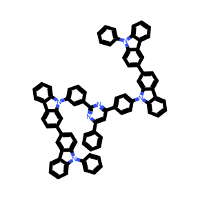 c1ccc(-c2cc(-c3ccc(-n4c5ccccc5c5ccc(-c6ccc7c(c6)c6ccccc6n7-c6ccccc6)cc54)cc3)nc(-c3cccc(-n4c5ccccc5c5ccc(-c6ccc7c(c6)c6ccccc6n7-c6ccccc6)cc54)c3)n2)cc1